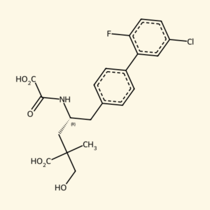 CC(CO)(C[C@@H](Cc1ccc(-c2cc(Cl)ccc2F)cc1)NC(=O)C(=O)O)C(=O)O